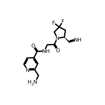 N=C[C@@H]1CC(F)(F)CN1C(=O)CNC(=O)c1ccnc(CN)c1